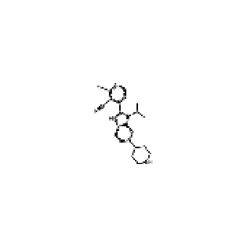 CC(C)c1c(-c2ccnc(Cl)c2C#N)[nH]c2ccc(C3CCNCC3)cc12